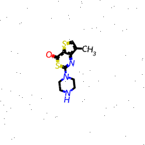 Cc1csc2c(=O)sc(N3CCNCC3)nc12